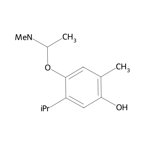 CNC(C)Oc1cc(C)c(O)cc1C(C)C